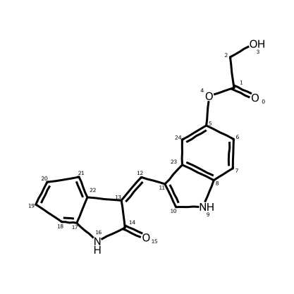 O=C(CO)Oc1ccc2[nH]cc(C=C3C(=O)Nc4ccccc43)c2c1